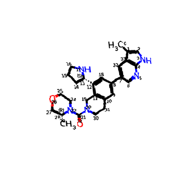 Cc1c[nH]c2ncc(-c3cc4c(c([C@@H]5CCCN5)c3)CN(C(=O)N3CCOC[C@H]3C)CC4)cc12